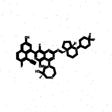 C#Cc1c(F)ccc2cc(O)cc(-c3nc(OC)c4c(N5CCOC[C@@](C)(O)C5)nc(OC[C@]56CCC[C@H]5N(C5CCC(F)(F)CC5)CCC6)nc4c3F)c12